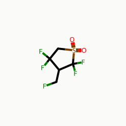 O=S1(=O)CC(F)(F)C(CF)C1(F)F